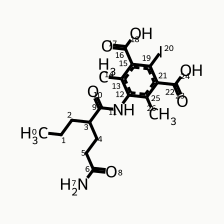 CCCC(CCC(N)=O)C(=O)Nc1c(C)c(C(=O)O)c(I)c(C(=O)O)c1C